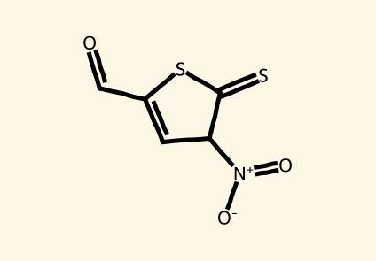 O=CC1=CC([N+](=O)[O-])C(=S)S1